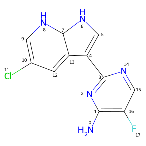 Nc1nc(C2=CNC3NC=C(Cl)C=C23)ncc1F